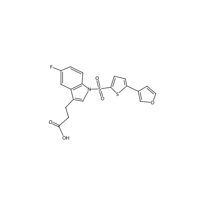 O=C(O)CCc1cn(S(=O)(=O)c2ccc(-c3ccoc3)s2)c2ccc(F)cc12